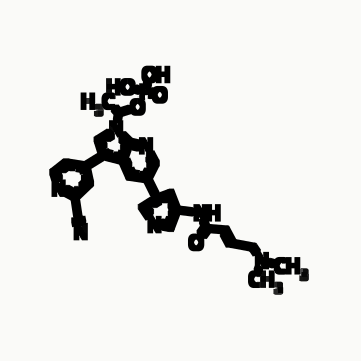 CC(OP(=O)(O)O)n1cc(-c2ccnc(C#N)c2)c2cc(-c3cncc(NC(=O)C=CCN(C)C)c3)cnc21